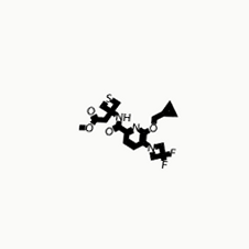 COC(=O)CC1(NC(=O)c2ccc(N3CC(F)(F)C3)c(OCC3CC3)n2)CSC1